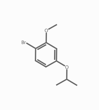 COc1cc(OC(C)C)ccc1Br